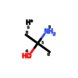 CC(C)(N)O.[H+]